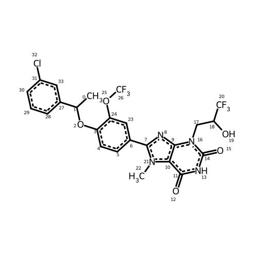 CC(Oc1ccc(-c2nc3c(c(=O)[nH]c(=O)n3CC(O)C(F)(F)F)n2C)cc1OC(F)(F)F)c1cccc(Cl)c1